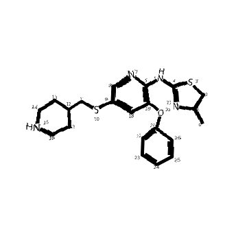 CC1CSC(Nc2ncc(SCC3CCNCC3)cc2Oc2ccccc2)=N1